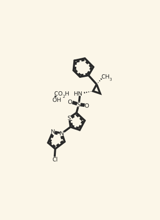 C[C@]1(c2ccccc2)C[C@@H]1NS(=O)(=O)c1ccc(-n2cc(Cl)cn2)s1.O=C(O)O